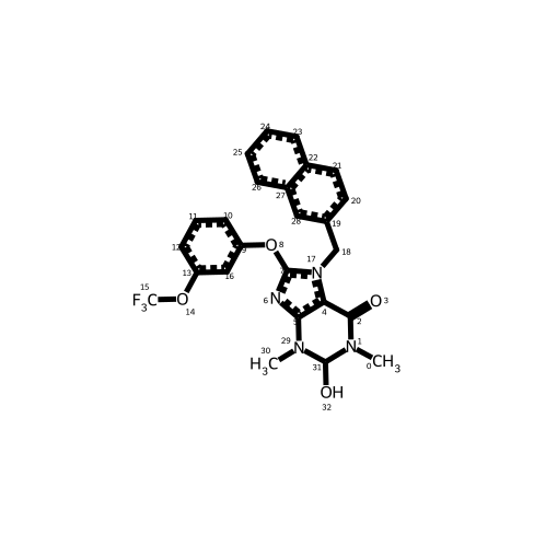 CN1C(=O)c2c(nc(Oc3cccc(OC(F)(F)F)c3)n2Cc2ccc3ccccc3c2)N(C)C1O